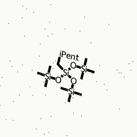 CCCC(C)C[Si](O[Si](C)(C)C)(O[Si](C)(C)C)O[Si](C)(C)C